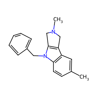 Cc1ccc2c(c1)c1c(n2Cc2ccccc2)CN(C)C1